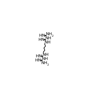 N=C(N)NC(=N)NCCCCCNC(=N)NC(=N)N